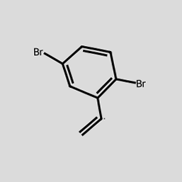 C=[C]c1cc(Br)ccc1Br